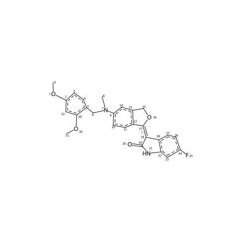 COc1ccc(CN(C)c2ccc3c(c2)CO/C3=C2/C(=O)Nc3cc(F)ccc32)c(OC)c1